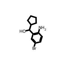 Nc1ccc(Br)cc1C(O)C1CCCC1